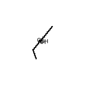 CCCCCCCC/C=C\CCCCCCCCNC(=O)C(O)CCCCCCCCCCCCCCCC